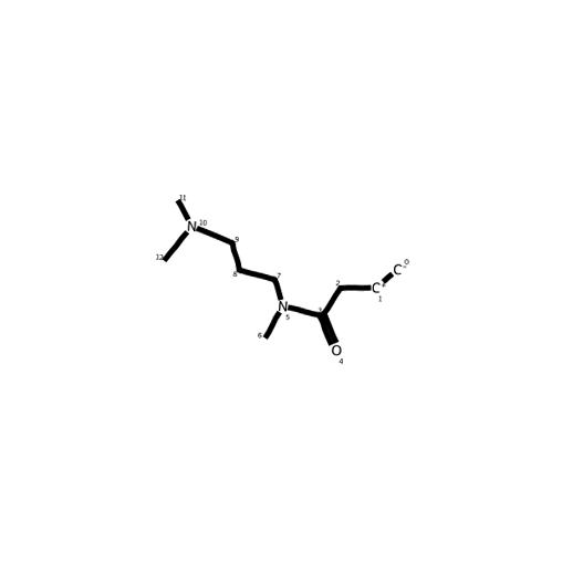 [CH2-][CH+]CC(=O)N(C)CCCN(C)C